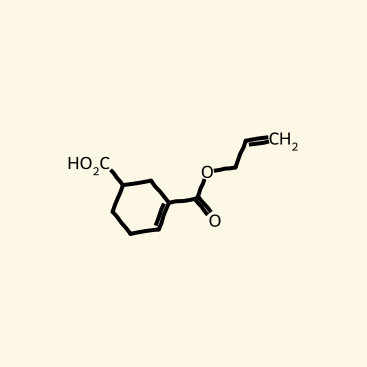 C=CCOC(=O)C1=CCCC(C(=O)O)C1